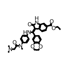 CCOC(=O)c1ccc2c(c1)NC(=O)/C2=C(\Nc1ccc(N(C)C(=O)CN(C)C)cc1)c1ccc2c(c1)OCCO2